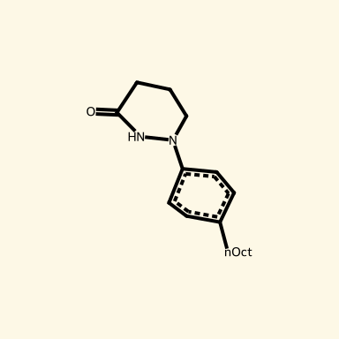 CCCCCCCCc1ccc(N2CCCC(=O)N2)cc1